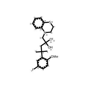 COc1ccc(F)cc1C(C)(C)CC(O)(CN1CCSc2ccccc21)C(F)(F)F